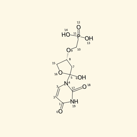 O=c1ccn(C2(O)C[C@@H](OCP(=O)(O)O)CO2)c(=O)[nH]1